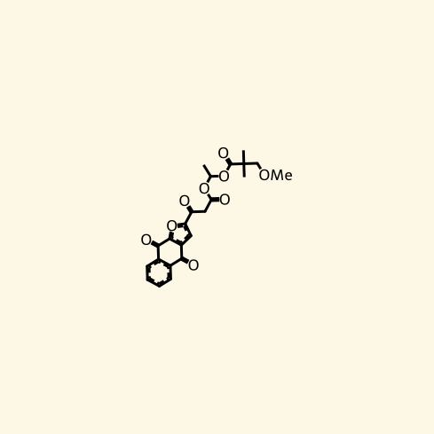 COCC(C)(C)C(=O)OC(C)OC(=O)CC(=O)c1cc2c(o1)C(=O)c1ccccc1C2=O